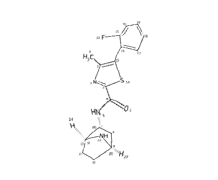 Cc1nc(C(=O)N[C@@H]2C[C@H]3CC[C@@H]2N3)sc1-c1ccccc1F